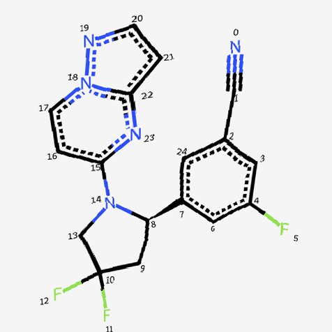 N#Cc1cc(F)cc([C@H]2CC(F)(F)CN2c2ccn3nccc3n2)c1